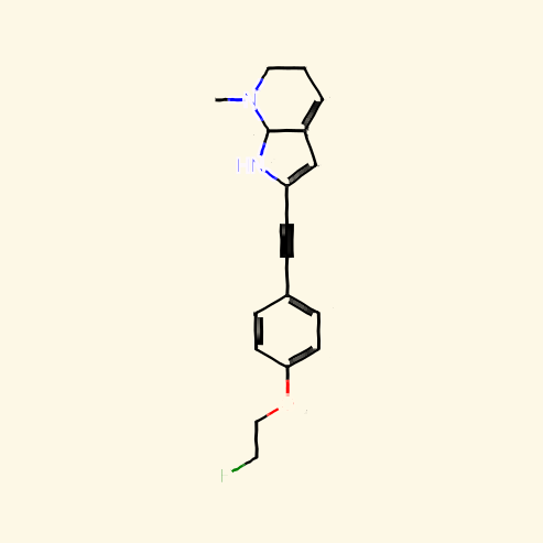 CN1CCC=C2C=C(C#Cc3ccc(OCCF)cc3)NC21